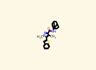 Cc1c(C(=O)NC2C3CC4CC(C3)CC2C4)nn(C)c1-c1cc2ccccc2s1